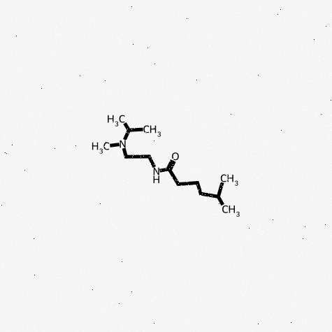 CC(C)CCCC(=O)NCCN(C)C(C)C